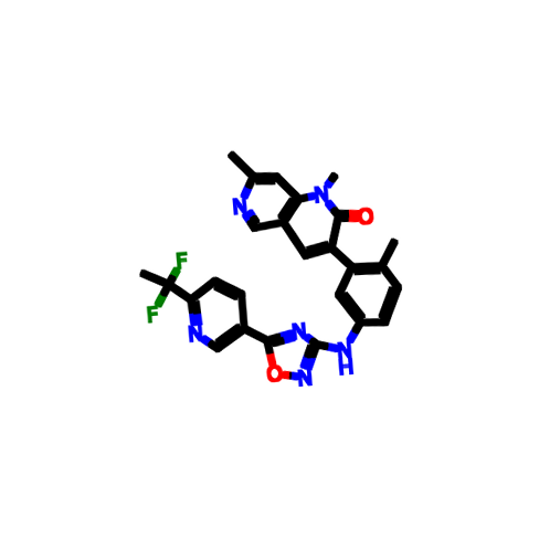 Cc1cc2c(cn1)cc(-c1cc(Nc3noc(-c4ccc(C(C)(F)F)nc4)n3)ccc1C)c(=O)n2C